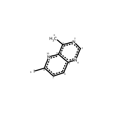 Cc1ncnc2ccc(I)nc12